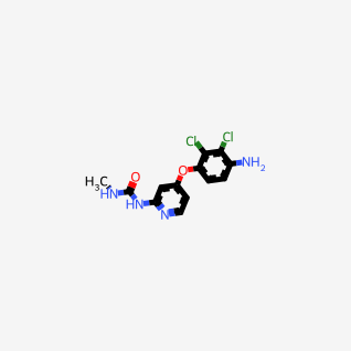 CNC(=O)Nc1cc(Oc2ccc(N)c(Cl)c2Cl)ccn1